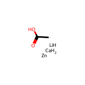 [CH2]C(=O)O.[CaH2].[LiH].[Zn]